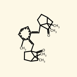 Cc1[c]ccc(=CC23CCC(CC2=O)C3(C)C)c1=CC12CCC(CC1=O)C2(C)C